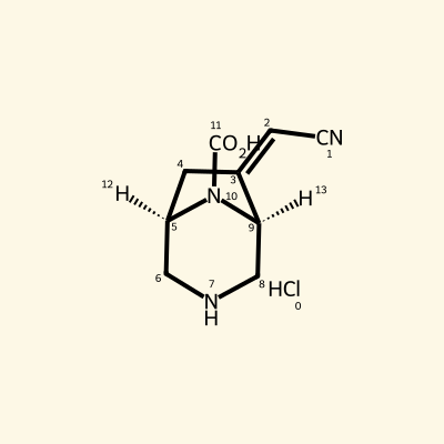 Cl.N#CC=C1C[C@@H]2CNC[C@H]1N2C(=O)O